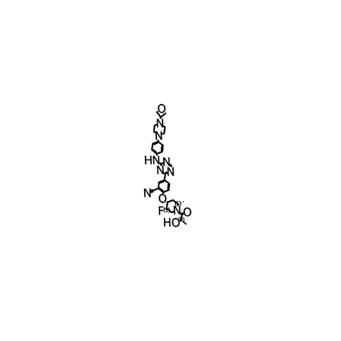 C[C@@H](O)C(=O)N1C[C@H](F)C(Oc2ccc(-c3ncnc(Nc4ccc(N5CCN(C6COC6)CC5)cc4)n3)cc2C#N)C[C@@H]1C